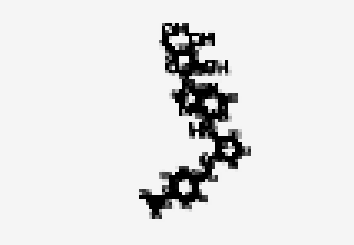 OCC1O[C@@H](n2cnc3c(NC4CCC[C@H]4OCc4ccc(C5CC5)cc4)ncnc32)[C@H](O)[C@@H]1O